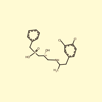 CC(Cc1ccc(Cl)c(Cl)c1)NC[C@@H](O)CP(=O)(O)Cc1ccccc1